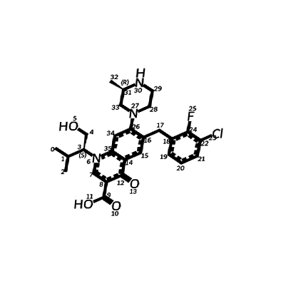 CC(C)[C@@H](CO)n1cc(C(=O)O)c(=O)c2cc(Cc3cccc(Cl)c3F)c(N3CCN[C@H](C)C3)cc21